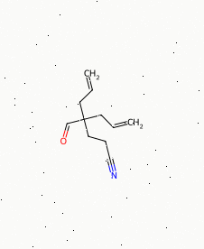 C=CCC(C=O)(CC=C)CCC#N